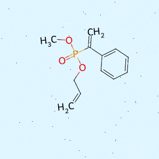 C=CCOP(=O)(OC)C(=C)c1ccccc1